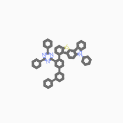 c1ccc(-c2cccc(-c3ccc(-c4cccc5sc6c(ccc7c6c6ccccc6n7-c6ccccc6)c45)c(-c4nc(-c5ccccc5)nc(-c5ccccc5)n4)c3)c2)cc1